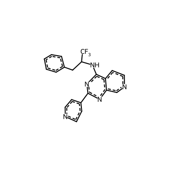 FC(F)(F)C(Cc1ccccc1)Nc1nc(-c2ccncc2)nc2cnccc12